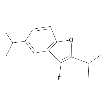 CC(C)c1ccc2oc(C(C)C)c(F)c2c1